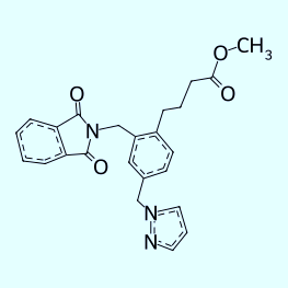 COC(=O)CCCc1ccc(Cn2cccn2)cc1CN1C(=O)c2ccccc2C1=O